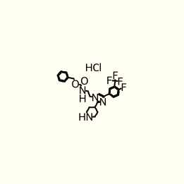 Cl.O=C(NCCn1cc(-c2ccc(F)c(C(F)(F)F)c2)nc1C1CCNCC1)OCc1ccccc1